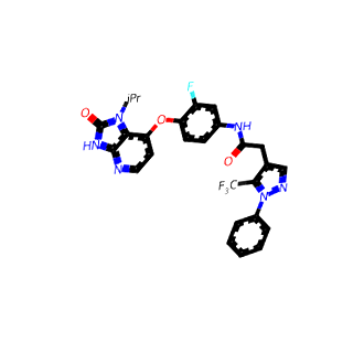 CC(C)n1c(=O)[nH]c2nccc(Oc3ccc(NC(=O)Cc4cnn(-c5ccccc5)c4C(F)(F)F)cc3F)c21